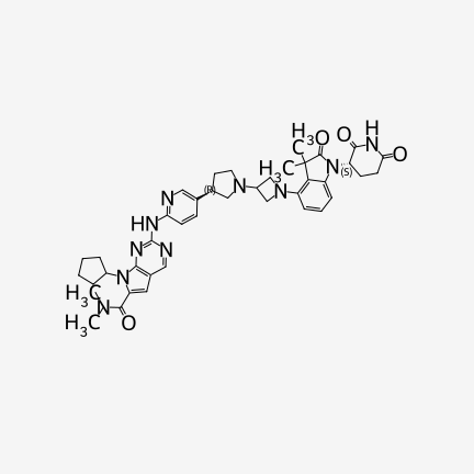 CN(C)C(=O)c1cc2cnc(Nc3ccc([C@H]4CCN(C5CN(c6cccc7c6C(C)(C)C(=O)N7[C@H]6CCC(=O)NC6=O)C5)C4)cn3)nc2n1C1CCCC1